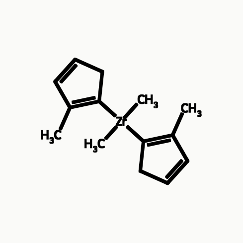 CC1=[C]([Zr]([CH3])([CH3])[C]2=C(C)C=CC2)CC=C1